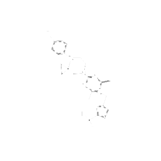 Cc1nc(N2CCN(c3ccc(F)cc3)C3(CC3)C2)nc(=O)n1Cc1ccc(C(F)(F)F)s1